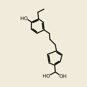 CCc1cc(CCCc2ccc(C(O)O)cc2)ccc1O